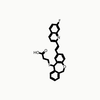 O=C(O)CCSC1c2ccccc2COc2ccc(C=Cc3ccc4ccc(F)cc4n3)cc21